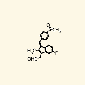 CC1=C(CC=O)c2cc(F)ccc2/C1=C\c1ccc([S+](C)[O-])cc1